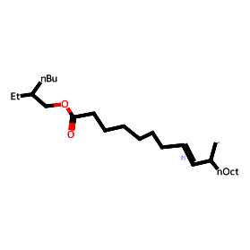 [CH2]C(/C=C/CCCCCCC(=O)OCC(CC)CCCC)CCCCCCCC